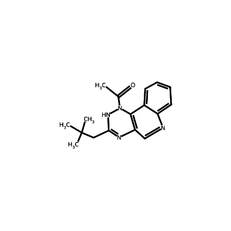 CC(=O)N1NC(CC(C)(C)C)=Nc2cnc3ccccc3c21